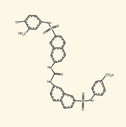 O=C(Nc1ccc2ccc(S(=O)(=O)Nc3ccc(C(=O)O)cc3)cc2c1)Nc1ccc2ccc(S(=O)(=O)Nc3ccc(Cl)c(C(=O)O)c3)cc2c1